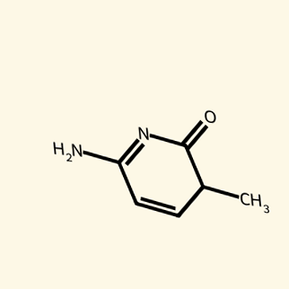 CC1C=CC(N)=NC1=O